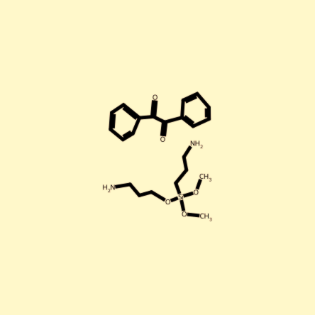 CO[Si](CCCN)(OC)OCCCN.O=C(C(=O)c1ccccc1)c1ccccc1